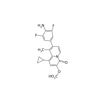 Cc1c(-c2cc(F)c(N)c(F)c2)ccn2c(=O)c(OC(=O)O)cc(C3CC3)c12